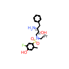 Cc1cc(O)c(F)cc1S(=O)(=O)N(CC(C)C)C[C@@H](O)[C@@H](N)Cc1ccccc1